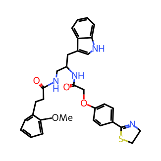 COc1ccccc1CCC(=O)NCC(Cc1c[nH]c2ccccc12)NC(=O)COc1ccc(C2=NCCS2)cc1